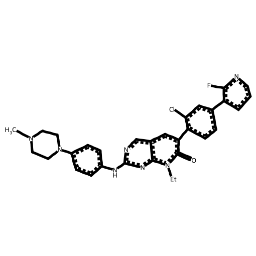 CCn1c(=O)c(-c2ccc(-c3cccnc3F)cc2Cl)cc2cnc(Nc3ccc(N4CCN(C)CC4)cc3)nc21